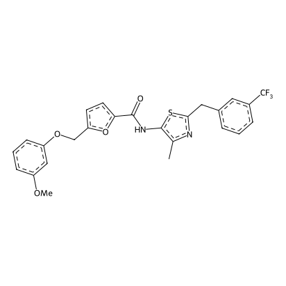 COc1cccc(OCc2ccc(C(=O)Nc3sc(Cc4cccc(C(F)(F)F)c4)nc3C)o2)c1